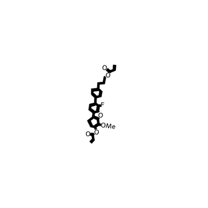 C=CC(=O)OCCCc1ccc(-c2ccc3c(oc4c(OC)c(OC(=O)C=C)ccc43)c2F)cc1